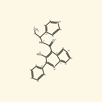 CCC(NC(=O)c1c(O)c(-c2ccccc2)nc2ccccc12)c1ccncc1